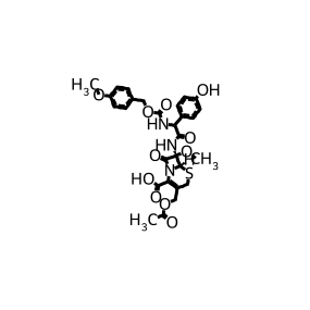 COc1ccc(COC(=O)NC(C(=O)N[C@]2(OC)C(=O)N3C(C(=O)O)=C(COC(C)=O)CS[C@H]32)c2ccc(O)cc2)cc1